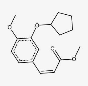 COC(=O)/C=C\c1ccc(OC)c(OC2CCCC2)c1